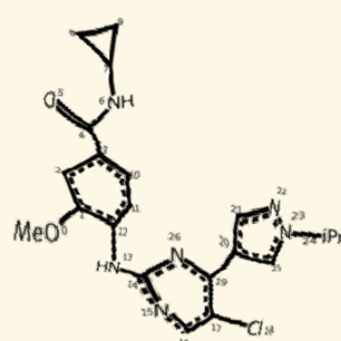 COc1cc(C(=O)NC2CC2)ccc1Nc1ncc(Cl)c(-c2cnn(C(C)C)c2)n1